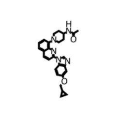 CC(=O)NC1CCN(c2cccc3ccc(-n4cnc5cc(OCC6CC6)ccc54)nc23)CC1